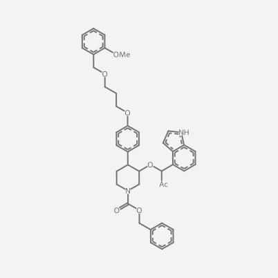 COc1ccccc1COCCCOc1ccc(C2CCN(C(=O)OCc3ccccc3)CC2OC(C(C)=O)c2cccc3[nH]ccc23)cc1